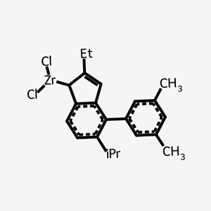 CCC1=Cc2c(ccc(C(C)C)c2-c2cc(C)cc(C)c2)[CH]1[Zr]([Cl])[Cl]